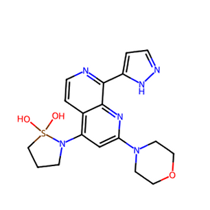 OS1(O)CCCN1c1cc(N2CCOCC2)nc2c(-c3ccn[nH]3)nccc12